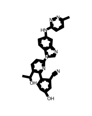 Cc1ccc(Nc2ccc3c(c2)ncn3-c2ccc(C(C)O)c(-c3ccc(O)cc3C#N)n2)nn1